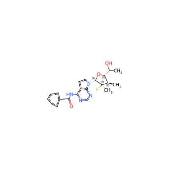 CC(O)[C@H]1O[C@@H](n2ccc3c(NC(=O)c4ccccc4)ncnc32)[C@](C)(F)[C@@H]1C